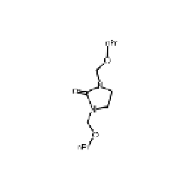 CCCOCN1CCN(COCCC)C1=O